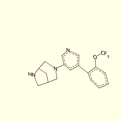 FC(F)(F)Oc1ccccc1-c1cncc(N2CC3CNC(C3)C2)c1